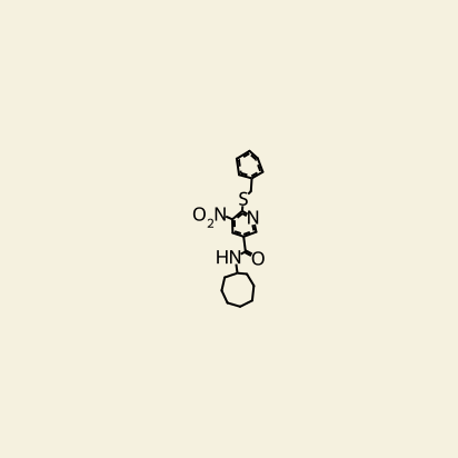 O=C(NC1CCCCCCC1)c1cnc(SCc2ccccc2)c([N+](=O)[O-])c1